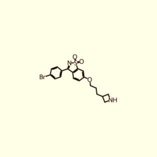 O=S1(=O)N=C(c2ccc(Br)cc2)c2ccc(OCCCC3CNC3)cc21